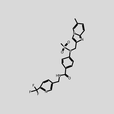 Cc1ccc2nc(CN(c3ccc(C(=O)NCc4ccc(C(F)(F)F)nc4)cc3)S(C)(=O)=O)cn2c1